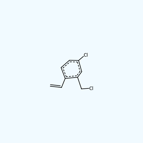 C=Cc1ccc(Cl)cc1CCl